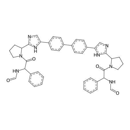 O=CNC(C(=O)N1CCCC1c1ncc(-c2ccc(-c3ccc(-c4cnc(C5CCCN5C(=O)C(NC=O)c5ccccc5)[nH]4)cc3)cc2)[nH]1)c1ccccc1